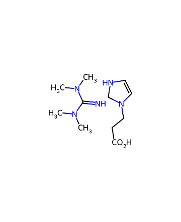 CN(C)C(=N)N(C)C.O=C(O)CCN1C=CNC1